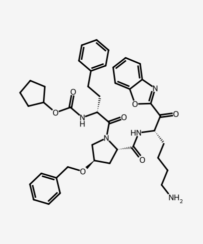 NCCCC[C@H](NC(=O)[C@@H]1C[C@@H](OCc2ccccc2)CN1C(=O)[C@@H](CCc1ccccc1)NC(=O)OC1CCCC1)C(=O)c1nc2ccccc2o1